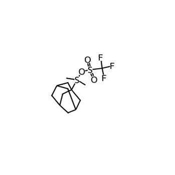 CS(C)(OS(=O)(=O)C(F)(F)F)C12CC3CC(CC(C3)C1)C2